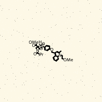 COCCN1C(C)=CC(COc2ccc(S(=O)(=O)NC3(C(=O)OC)CN(C(=O)C(C)C)C3)cc2)=C2C=CC=CC21